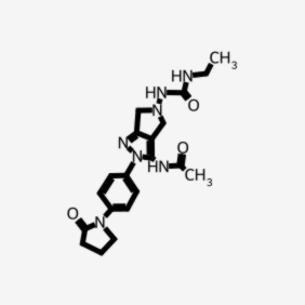 CCNC(=O)NN1Cc2nn(-c3ccc(N4CCCC4=O)cc3)c(NC(C)=O)c2C1